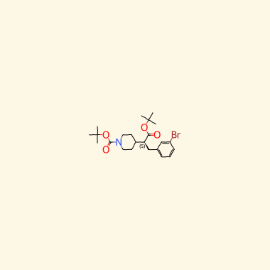 CC(C)(C)OC(=O)[C@@H](Cc1cccc(Br)c1)C1CCN(C(=O)OC(C)(C)C)CC1